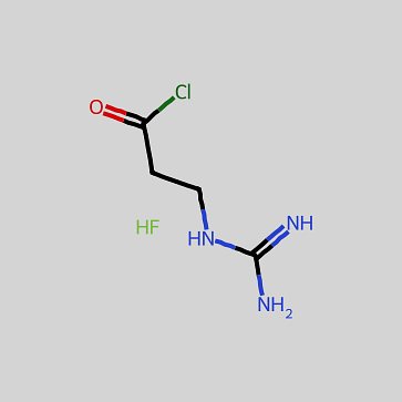 F.N=C(N)NCCC(=O)Cl